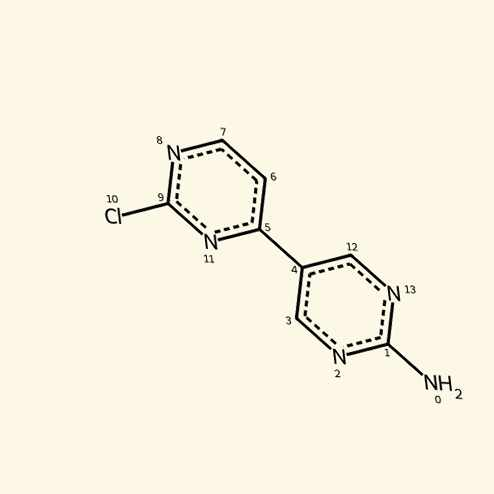 Nc1ncc(-c2ccnc(Cl)n2)cn1